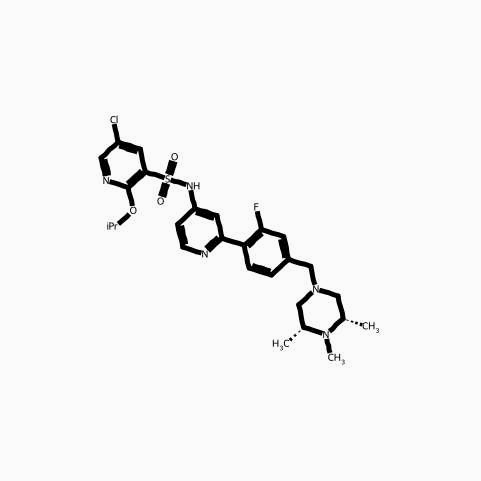 CC(C)Oc1ncc(Cl)cc1S(=O)(=O)Nc1ccnc(-c2ccc(CN3C[C@@H](C)N(C)[C@@H](C)C3)cc2F)c1